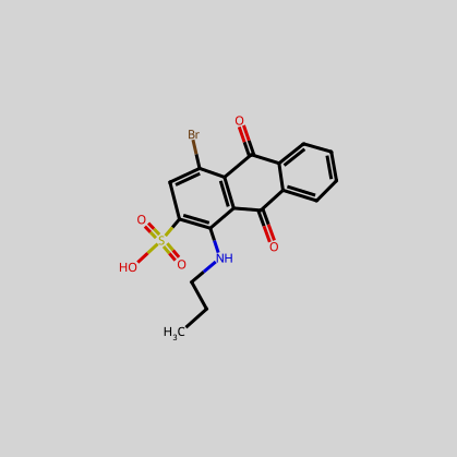 CCCNc1c(S(=O)(=O)O)cc(Br)c2c1C(=O)c1ccccc1C2=O